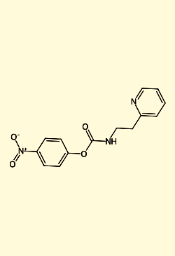 O=C(NCCc1ccccn1)Oc1ccc([N+](=O)[O-])cc1